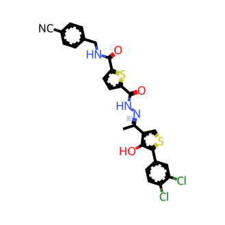 C/C(=N\NC(=O)c1ccc(C(=O)NCc2ccc(C#N)cc2)s1)c1csc(-c2ccc(Cl)c(Cl)c2)c1O